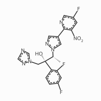 C[C@@H](n1cc(-c2ncc(F)cc2[N+](=O)[O-])cn1)[C@](O)(Cn1cncn1)c1ccc(F)cc1F